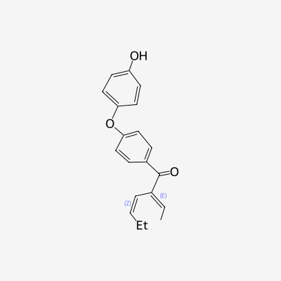 C/C=C(\C=C/CC)C(=O)c1ccc(Oc2ccc(O)cc2)cc1